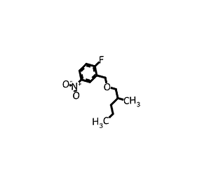 CCCC(C)COCc1cc([N+](=O)[O-])ccc1F